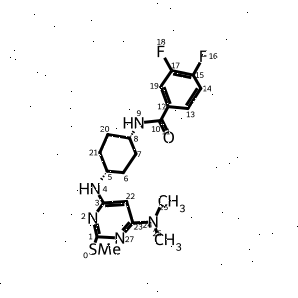 CSc1nc(N[C@H]2CC[C@@H](NC(=O)c3ccc(F)c(F)c3)CC2)cc(N(C)C)n1